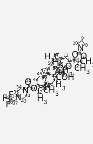 CC(C)[C@@H](OC(=O)N1CCC1)C1C[C@@H](C)[C@H]2C(O1)[C@H](O)[C@@]1(C)C3CC[C@H]4C(C)(C)C(OC(=O)N5CCN(CC(F)(F)F)CC5)CC[C@@]45C[C@@]35CC[C@]21C